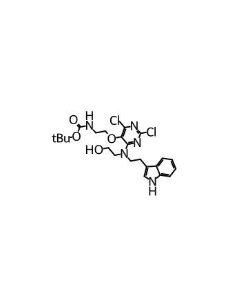 CC(C)(C)OC(=O)NCCOc1c(Cl)nc(Cl)nc1N(CCO)CCc1c[nH]c2ccccc12